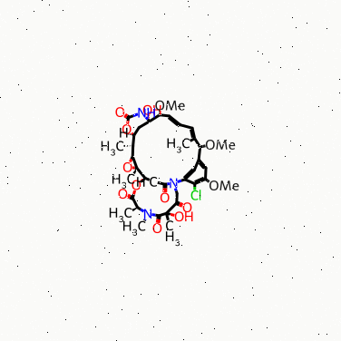 COc1cc2cc(c1Cl)N1CC(=O)C(C)(O)C(=O)N(C)[C@@H](C)C(=O)O[C@@H](CC1=O)[C@]1(C)OC1[C@H](C)[C@@H]1C[C@@](O)(NC(=O)O1)[C@H](OC)/C=C/C=C(\C)C2OC